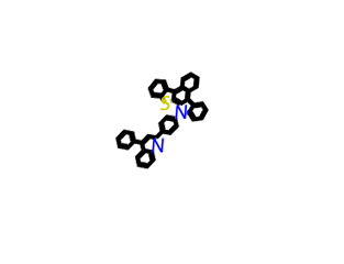 c1ccc(-c2cc(-c3ccc(-n4c5ccccc5c5c6ccccc6c6c7ccccc7sc6c54)cc3)nc3ccccc23)cc1